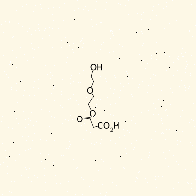 O=C(O)CC(=O)OCCOCCO